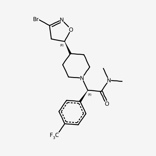 CN(C)C(=O)[C@@H](c1ccc(C(F)(F)F)cc1)N1CCC([C@H]2CC(Br)=NO2)CC1